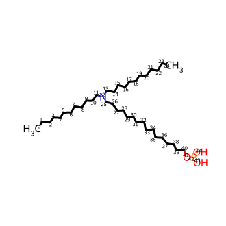 CCCCCCCCCCCCN(CCCCCCCCCCCC)CCCCCCCCCCCCCCCCOP(O)O